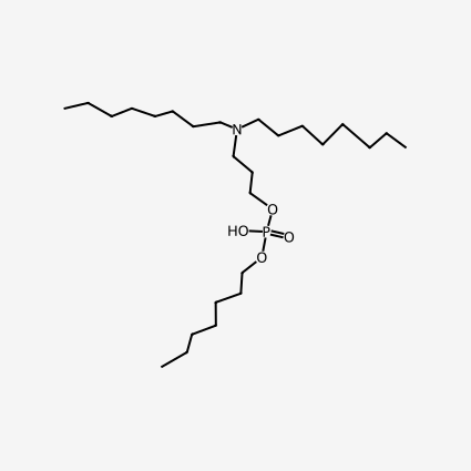 CCCCCCCCN(CCCCCCCC)CCCOP(=O)(O)OCCCCCCC